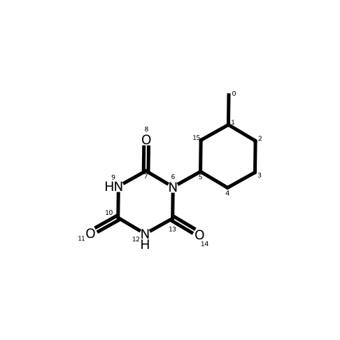 CC1CCCC(n2c(=O)[nH]c(=O)[nH]c2=O)C1